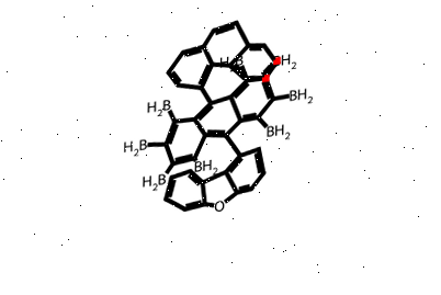 Bc1c(B)c(B)c2c(-c3cccc4oc5ccccc5c34)c3c(B)c(B)c(B)c(B)c3c(-c3cccc4ccc5ccccc5c34)c2c1B